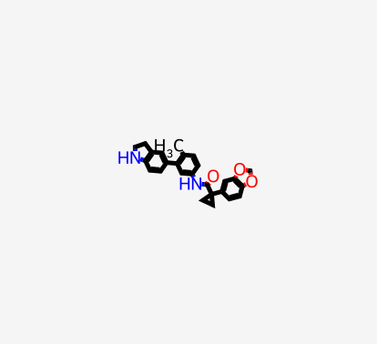 Cc1ccc(NC(=O)C2(c3ccc4c(c3)OCO4)CC2)cc1-c1ccc2c(c1)CCN2